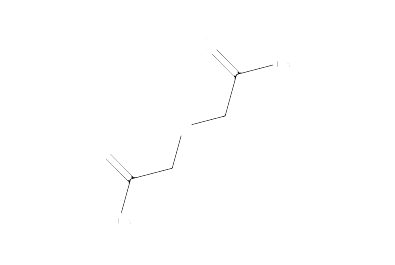 CC(C)(C)C(=O)COCC(=O)C(C)(C)C